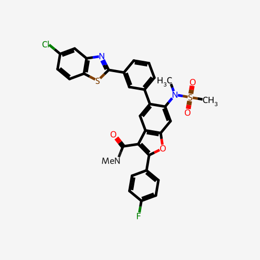 CNC(=O)c1c(-c2ccc(F)cc2)oc2cc(N(C)S(C)(=O)=O)c(-c3cccc(-c4nc5cc(Cl)ccc5s4)c3)cc12